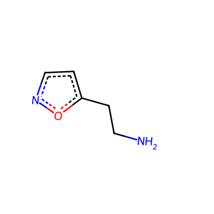 NCCc1ccno1